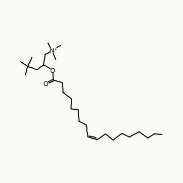 CCCCCCCC/C=C\CCCCCCCC(=O)OC(CC(C)(C)C)C[N+](C)(C)C